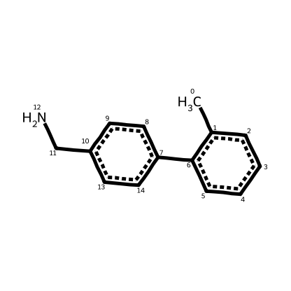 Cc1ccccc1-c1ccc(CN)cc1